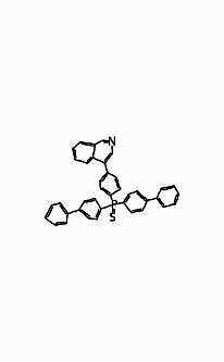 S=P(c1ccc(-c2ccccc2)cc1)(c1ccc(-c2ccccc2)cc1)c1ccc(-c2cncc3ccccc23)cc1